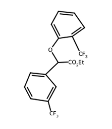 CCOC(=O)C(Oc1ccccc1C(F)(F)F)c1cccc(C(F)(F)F)c1